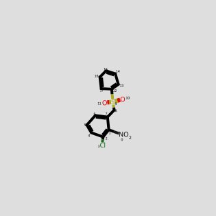 O=[N+]([O-])c1c(Cl)cccc1CS(=O)(=O)c1ccccc1